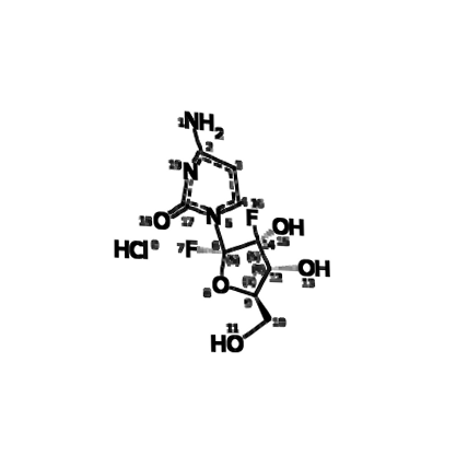 Cl.Nc1ccn([C@]2(F)O[C@H](CO)[C@@H](O)[C@]2(O)F)c(=O)n1